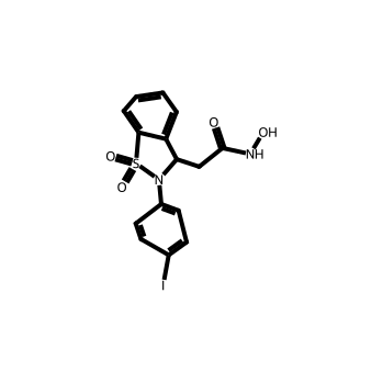 O=C(CC1c2ccccc2S(=O)(=O)N1c1ccc(I)cc1)NO